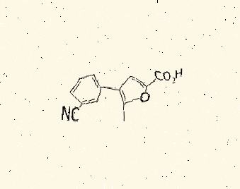 Cc1oc(C(=O)O)cc1-c1cccc(C#N)c1